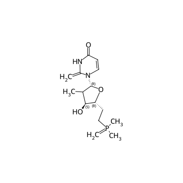 C=C1NC(=O)C=CN1[C@@H]1O[C@H](CCP(=C)(C)C)[C@@H](O)C1C